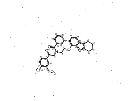 O=C(CN(CCOc1cccc2c3c(oc12)CCCC3)C(=O)c1ccccc1)c1ccc(Cl)c([N+](=O)[O-])c1